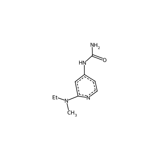 CCN(C)c1cc(NC(N)=O)ccn1